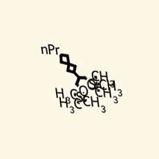 CCCC1CC2(C1)CC(C(CO[Si](C)(C)C)CO[Si](C)(C)C)C2